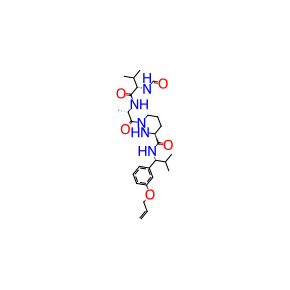 C=CCOc1cccc([C@H](NC(=O)[C@@H]2CCCN(C(=O)[C@H](C)NC(=O)[C@@H](NC=O)C(C)C)N2)C(C)C)c1